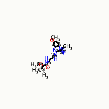 COc1ccc2c(c1)nc(NCCCCNC(=O)[C@@H](OC)C(C)C)c1nnc(C)n12